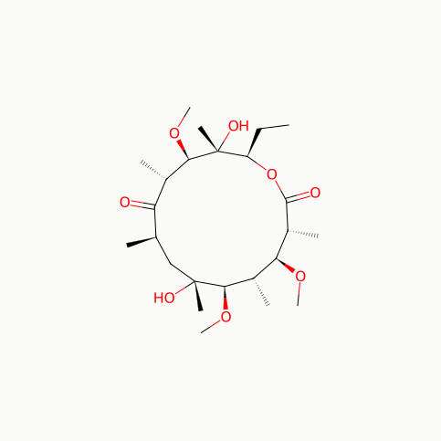 CC[C@H]1OC(=O)[C@H](C)[C@@H](OC)[C@H](C)[C@@H](OC)[C@](C)(O)C[C@@H](C)C(=O)[C@H](C)[C@@H](OC)[C@]1(C)O